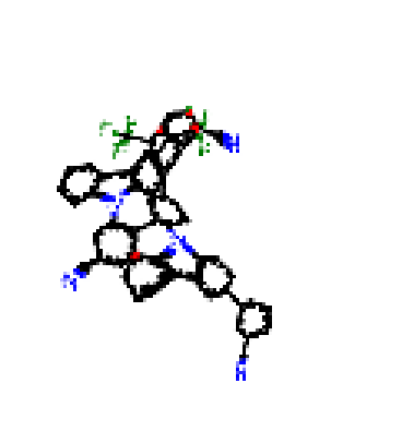 N#Cc1cccc(-c2ccc3c(c2)c2ccccc2n3-c2ccc(-c3cc(C(F)(F)F)cc(C(F)(F)F)c3)cc2-c2ccc(C#N)cc2-n2c3ccccc3c3cc(-c4cccc(C#N)c4)ccc32)c1